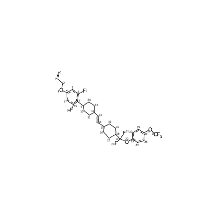 C=CCOc1cc(F)c(C2CCC(/C=C/C3CCC(C(F)(F)Oc4ccc(OC(F)(F)F)cc4)CC3)CC2)c(F)c1